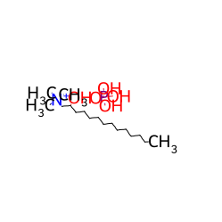 CCCCCCCCCCCCC(O)C[N+](C)(C)C.O=P(O)(O)O